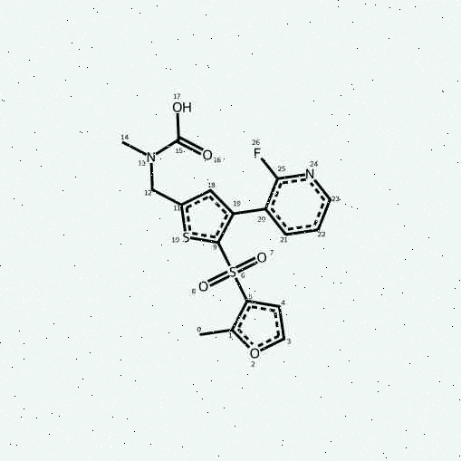 Cc1occc1S(=O)(=O)c1sc(CN(C)C(=O)O)cc1-c1cccnc1F